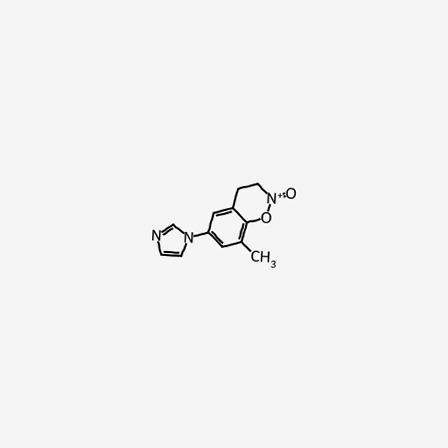 Cc1cc(-n2ccnc2)cc2c1O[N+](=O)CC2